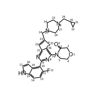 O=C1COCCN1c1nc(-c2c(F)ccc3[nH]ccc23)nc2cc(CN3CCN(CC4CC4)CC3)sc12